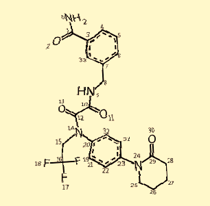 NC(=O)c1cccc(CNC(=O)C(=O)N(CC(F)(F)F)c2ccc(N3CCCCC3=O)cc2)c1